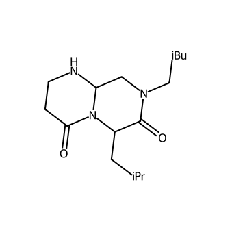 CCC(C)CN1CC2NCCC(=O)N2C(CC(C)C)C1=O